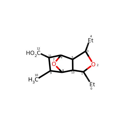 CCC1OC(CC)C2C3OC(C(C)C3C(=O)O)C12